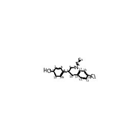 Oc1ccc(C(CN=C=S)Cc2ccc(Cl)cc2)cc1